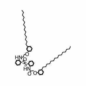 CCCCCCCCCCCCCCCc1cccc(OCC(=O)Nc2ccccc2SSc2ccccc2NC(=O)COc2cccc(CCCCCCCCCCCCCCC)c2)c1